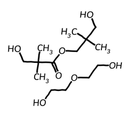 CC(C)(CO)COC(=O)C(C)(C)CO.OCCOCCO